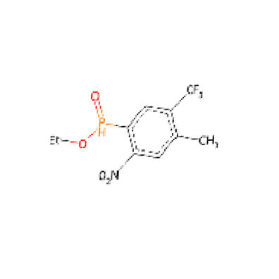 CCO[PH](=O)c1cc(C(F)(F)F)c(C)cc1[N+](=O)[O-]